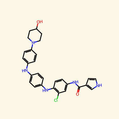 O=C(Nc1ccc(Nc2ccc(Nc3ccc(N4CCC(O)CC4)cc3)cc2)c(Cl)c1)c1cc[nH]c1